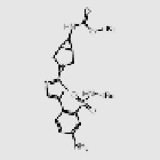 CC(C)(C)NS(=O)(=O)c1cc(N)ccc1-c1cnc(N2CC3C(C2)C3NC(=O)OC(C)(C)C)s1